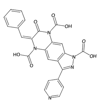 O=C(O)N1C(=O)/C(=C\c2ccccc2)N(C(=O)O)c2cc3c(-c4ccncc4)nn(C(=O)O)c3cc21